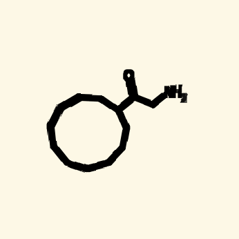 NCC(=O)C1CCCCCCCCCC1